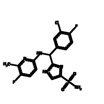 Cc1nc(NC(c2ccc(F)c(Cl)c2)c2nc(S(N)(=O)=O)c[nH]2)ccc1F